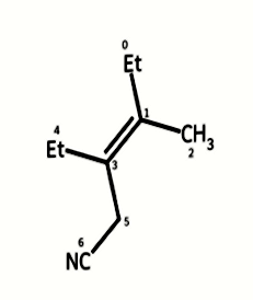 CC/C(C)=C(\CC)CC#N